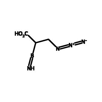 [N-]=[N+]=NCC(B=N)C(=O)O